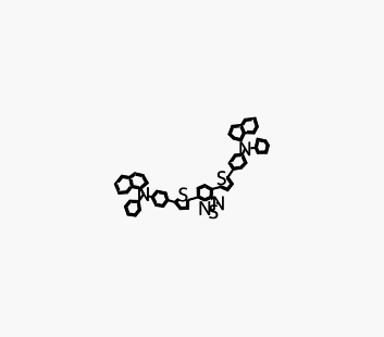 c1ccc(N(c2ccc(-c3ccc(-c4ccc(-c5ccc(-c6ccc(N(c7ccccc7)c7cccc8ccccc78)cc6)s5)c5nsnc45)s3)cc2)c2cccc3ccccc23)cc1